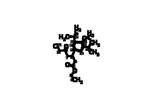 CCOC(=O)CC(CC(=O)CCl)c1cc(C(C)C)c(OC)c(C(C)C)c1